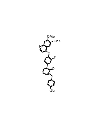 COc1cc2nccc(Oc3ccc(-c4cncn(Cc5ccc(C(C)(C)C)cc5)c4=O)cc3F)c2cc1OC